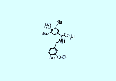 CCOC(=O)C(NCc1ccc(O)c(OCC)c1)c1cc(C(C)(C)C)c(O)c(C(C)(C)C)c1